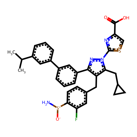 CC(C)c1cccc(-c2cccc(-c3nn(-c4nc(C(=O)O)cs4)c(CC4CC4)c3Cc3ccc([S+](N)[O-])c(F)c3)c2)c1